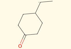 C[CH]C1CCC(=O)CC1